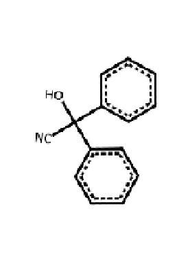 N#CC(O)(c1ccccc1)c1ccccc1